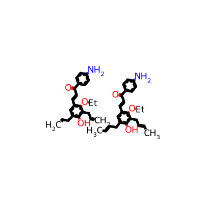 C=CCc1cc(C=CC(=O)c2ccc(N)cc2)c(OCC)c(CC=C)c1O.CC=CCc1cc(C=CC(=O)c2ccc(N)cc2)c(OCC)c(CC=CC)c1O